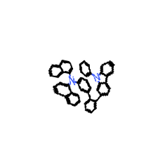 c1ccc(-n2c3ccccc3c3ccc(-c4ccccc4-c4cccc(N(c5cccc6ccccc56)c5cccc6ccccc56)c4)cc32)cc1